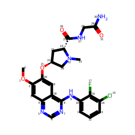 COc1cc2ncnc(Nc3cccc(Cl)c3F)c2cc1O[C@H]1C[C@H](C(=O)NCC(N)=O)N(C)C1